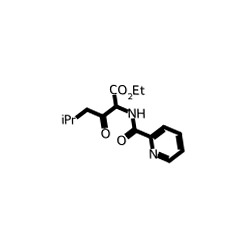 CCOC(=O)C(NC(=O)c1ccccn1)C(=O)CC(C)C